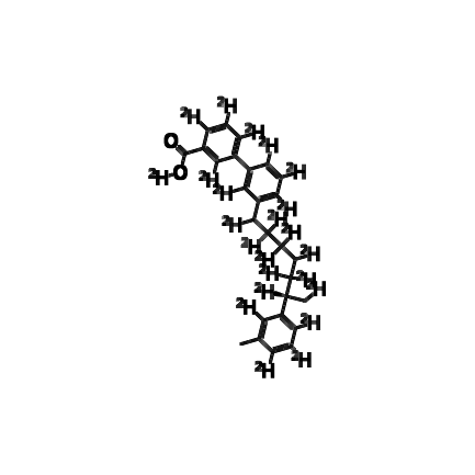 [2H]C[C@]([2H])(c1c([2H])c([2H])c([2H])c(C)c1[2H])C([2H])([2H])C([2H])C([2H])([2H])C([2H])([2H])C([2H])c1c([2H])c([2H])c([2H])c(-c2c([2H])c([2H])c([2H])c(C(=O)O[2H])c2[2H])c1[2H]